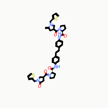 C=C1CC(C(=O)N2CCC[C@H]2C(=O)Nc2ccc(/C=C/c3ccc(NC(=O)[C@@H]4CCCN4C(=O)C4CC(=O)N(Cc5cccs5)C4)cc3)cc2)CN1Cc1cccs1